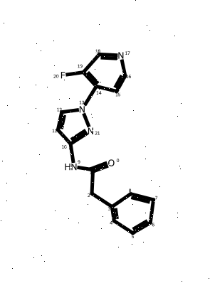 O=C(Cc1ccccc1)Nc1ccn(-c2ccncc2F)n1